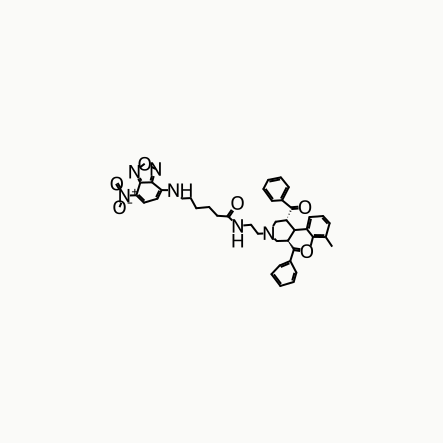 Cc1cccc(C2[C@@H](C(=O)c3ccccc3)CN(CCNC(=O)CCCCCNc3ccc([N+](=O)[O-])c4nonc34)C[C@@H]2C(=O)c2ccccc2)c1C